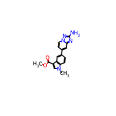 COC(=O)c1cn(C)c2ccc(-c3ccn4nc(N)nc4c3)cc12